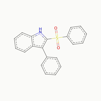 O=S(=O)(c1ccccc1)c1[nH]c2ccccc2c1-c1ccccc1